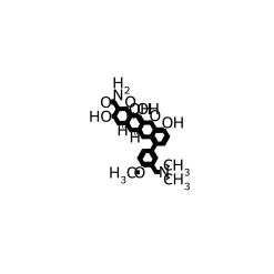 COc1ccc(-c2ccc(O)c3c2C[C@H]2C[C@H]4CC(O)C(C(N)=O)C(=O)[C@@]4(O)C(O)=C2C3=O)cc1CN(C)C